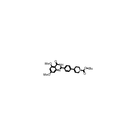 COc1cc(OC)c2c(=O)[nH]c(-c3ccc(C4=CCN(C(=O)OC(C)(C)C)CC4)cc3)nc2c1